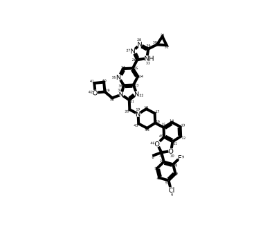 CC1(c2ccc(Cl)cc2F)Oc2cccc(C3CCN(Cc4nc5cc(-c6nnc(C7CC7)[nH]6)cnc5n4CC4CCO4)CC3)c2O1